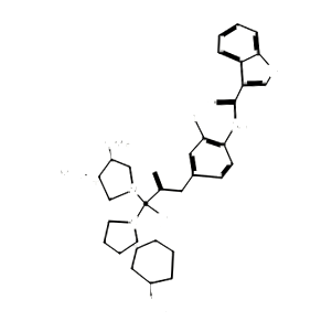 CCOC(=O)[C@H]1CC[C@H](OC(C(=O)Cc2ccc(NC(=O)c3coc4ccccc34)c(Cl)c2)(N2CCCC2)N2C[C@H](OC)[C@@H](OC)C2)CC1